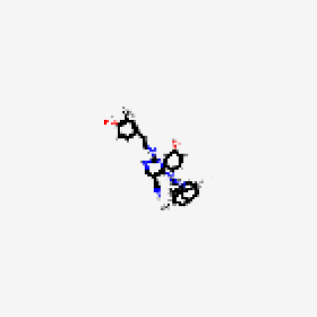 Cc1cc(CCNc2ncc(C#N)c(NC[C@]34CC5C[C@H](C3)[C@@H](NC[C@H]3CC[C@H](O)CC3)[C@@H](C5)C4)n2)ccc1O